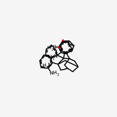 Nc1ccccc1C12CC3CC(C1)CC(c1ccccc1N)(C3)C2(c1ccccc1N)c1ccccc1N